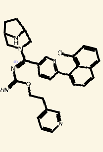 N=C(/N=C(\c1ccc(-c2cccc3cccc(Cl)c23)nc1)N1CC2CCC(C1)N2)OCCc1cccnc1